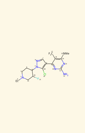 CCN1CCC(n2ncc(-c3nc(N)nc(NC)c3C(F)(F)F)c2Cl)C(F)C1